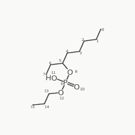 CCCCCC(CC)OP(=O)(O)OCCC